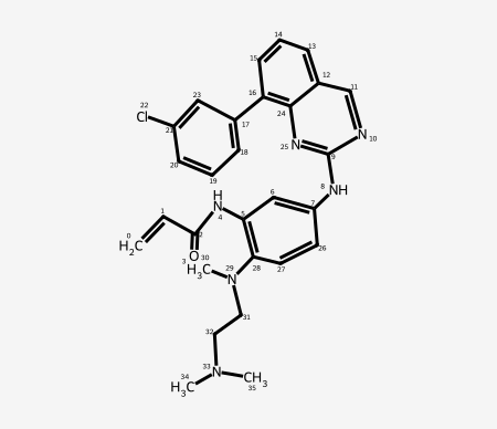 C=CC(=O)Nc1cc(Nc2ncc3cccc(-c4cccc(Cl)c4)c3n2)ccc1N(C)CCN(C)C